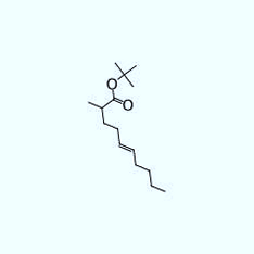 CCCCC=CCCC(C)C(=O)OC(C)(C)C